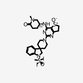 CN1C[C@@H](Nc2nc(N3CCC4(CC3)CN(S(C)(=O)(I)I)c3ccccc34)nc3c2[S+]([O-])CC3)CCC1=O